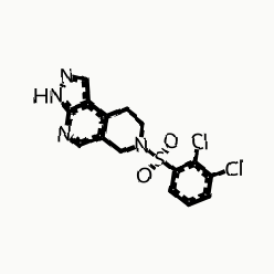 O=S(=O)(c1cccc(Cl)c1Cl)N1CCc2c(cnc3[nH]ncc23)C1